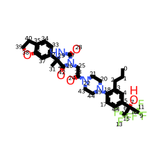 CCCc1cc(C(O)(C(F)(F)F)C(F)(F)F)ccc1N1CCN(C(=O)CN2C(=O)NC(C)(c3ccc4c(c3)OCC4)C2=O)CC1